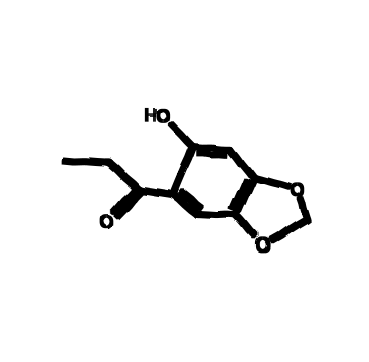 CCC(=O)c1cc2c(cc1O)OCO2